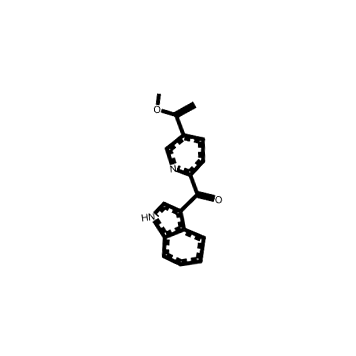 C=C(OC)c1ccc(C(=O)c2c[nH]c3ccccc23)nc1